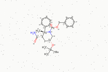 CC(C)(C)[Si](C)(C)O[C@@H]1C[C@H](C(N)=O)[C@](C)(c2ccccc2)N(C(=O)OCc2ccccc2)C1